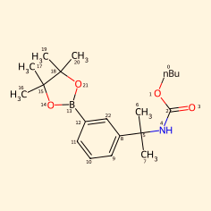 CCCCOC(=O)NC(C)(C)c1cccc(B2OC(C)(C)C(C)(C)O2)c1